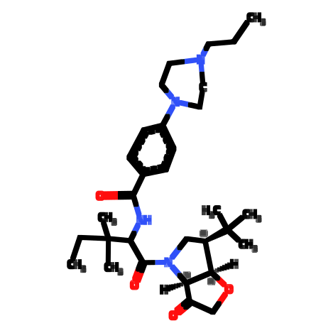 CCCN1CCN(c2ccc(C(=O)NC(C(=O)N3C[C@@H](C(C)(C)C)[C@H]4OCC(=O)[C@H]43)C(C)(C)CC)cc2)CC1